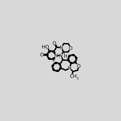 CC1COc2cccc3c2N1Cc1cccc(F)c1C3N1[C@@H]2COCCN2C(=O)c2c(O)c(=O)ccn21